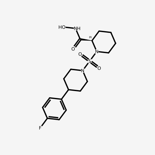 O=C(NO)[C@H]1CCCCN1S(=O)(=O)N1CCC(c2ccc(F)cc2)CC1